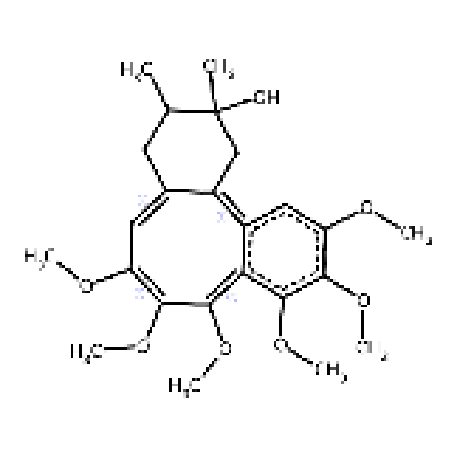 COC1=C(OC)/C(OC)=c2/c(OC)c(OC)c(OC)c/c2=C2\CC(C)(O)C(C)C\C2=C\1